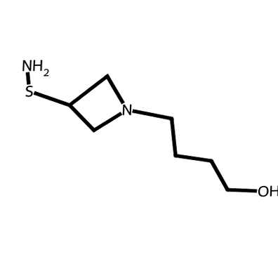 NSC1CN(CCCCO)C1